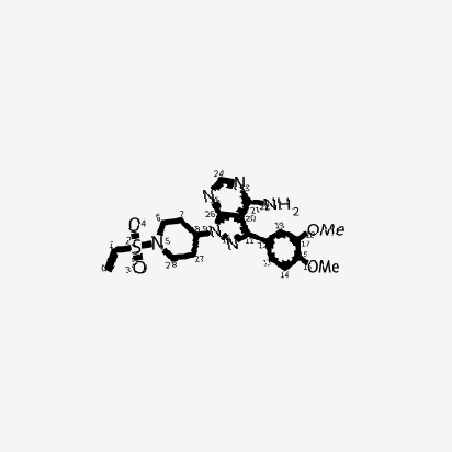 C=CS(=O)(=O)N1CCC(n2nc(-c3ccc(OC)c(OC)c3)c3c(N)ncnc32)CC1